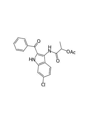 CC(=O)OC(C)C(=O)Nc1c(C(=O)c2ccccc2)[nH]c2cc(Cl)ccc12